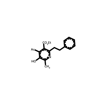 CCOC(=O)c1c(CCc2ccccc2)nc(C)c(O)c1C(C)=O